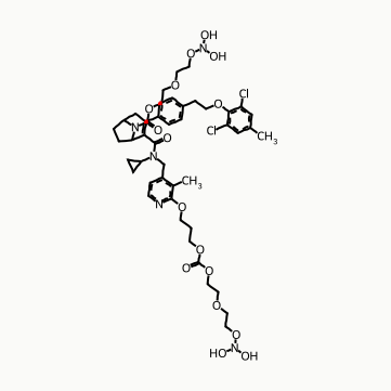 Cc1cc(Cl)c(OCCc2ccc(C3=C(C(=O)N(Cc4ccnc(OCCCOC(=O)OCCOCCON(O)O)c4C)C4CC4)C4CCC(C3)N4C(=O)OCCOCCON(O)O)cc2)c(Cl)c1